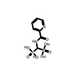 O=C(NC(P(=O)(O)O)P(=O)(O)O)c1ccccn1